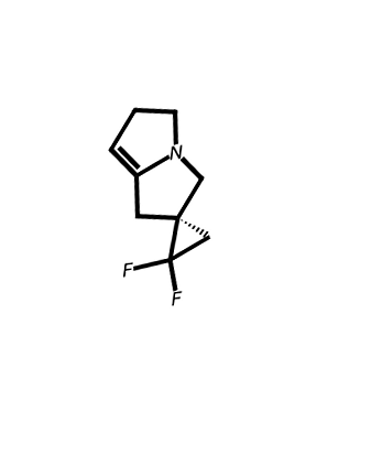 FC1(F)C[C@@]12CC1=CCCN1C2